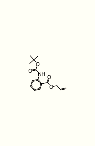 C=CCOC(=O)c1ccccc1NC(=O)OC(C)(C)C